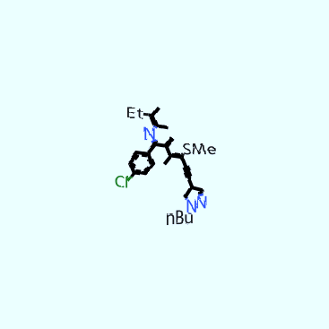 C=C(/C(=N\C(C)=C(\C)CC)c1ccc(Cl)cc1)/C(C)=C(/C#CC1C=NN(CCCC)C1)SC